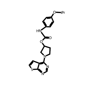 CC(C)Oc1ccc(NC(=O)OC2CCN(c3ncnc4sccc34)C2)cc1